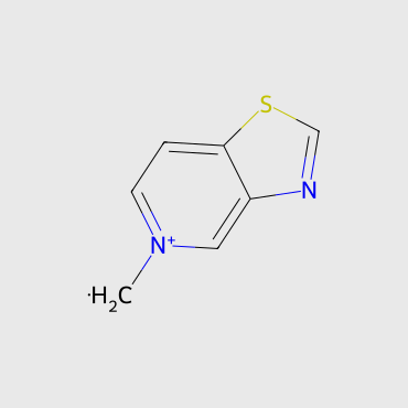 [CH2][n+]1ccc2scnc2c1